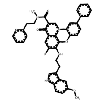 COc1ccc2[nH]cc(CCNc3c(F)cc4c(=O)c(C(=O)N(C)CCc5ccccn5)cn5c4c3Oc3ccc(-c4ccccc4)cc3-5)c2c1